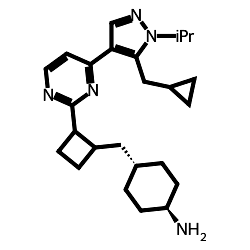 CC(C)n1ncc(-c2ccnc(C3CCC3C[C@H]3CC[C@H](N)CC3)n2)c1CC1CC1